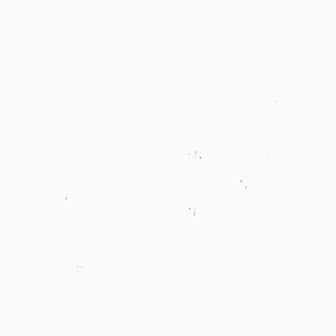 Cc1cccc2cnc(Nc3ccc(Cl)c(O)c3)nc12